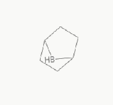 B1C2CCC1CC2